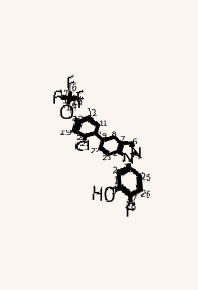 Oc1cc(-n2ncc3cc(-c4ccc(OC(F)(F)F)cc4Cl)ccc32)ccc1F